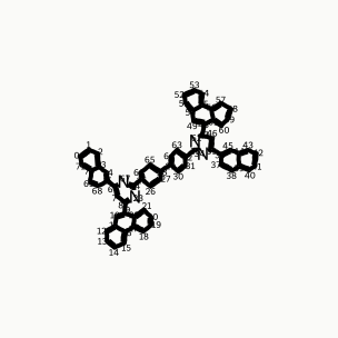 c1ccc2cc(-c3cc(-c4cc5ccccc5c5ccccc45)nc(-c4ccc(-c5ccc(-c6nc(-c7ccc8ccccc8c7)cc(-c7cc8ccccc8c8ccccc78)n6)cc5)cc4)n3)ccc2c1